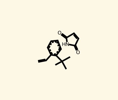 C=Cc1ccccc1C(C)(C)C.O=C1C=CC(=O)N1